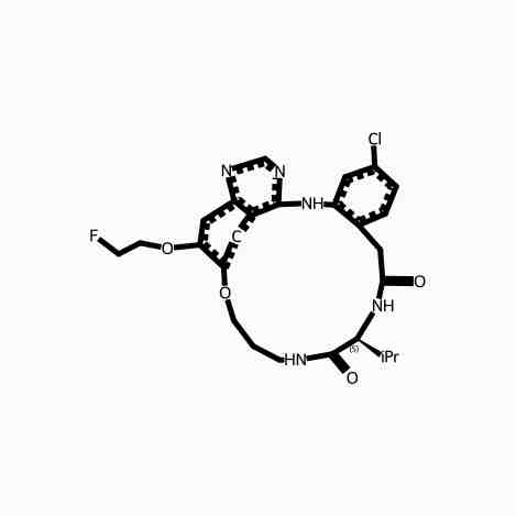 CC(C)[C@@H]1NC(=O)Cc2ccc(Cl)cc2Nc2ncnc3cc(OCCF)c(cc23)OCCCNC1=O